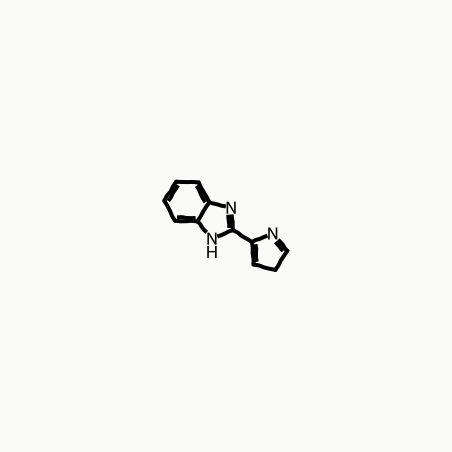 C1=NC(c2nc3ccccc3[nH]2)=CC1